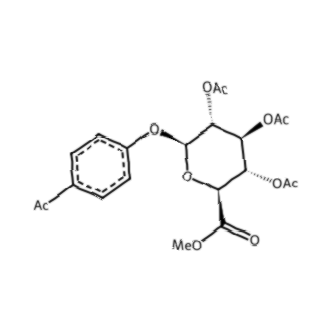 COC(=O)[C@H]1O[C@@H](Oc2ccc(C(C)=O)cc2)[C@H](OC(C)=O)[C@@H](OC(C)=O)[C@@H]1OC(C)=O